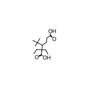 CCC(CC)(C(=O)O)C(CCC(=O)O)C(C)(C)C